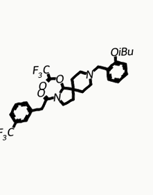 CC(C)COc1ccccc1CN1CCC2(CC1)CCN(C(=O)Cc1cccc(C(F)(F)F)c1)C2OC(=O)C(F)(F)F